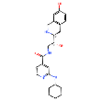 O=C(NC[C@@H](O)[C@@H]1Cc2ccc(O)cc2CN1)c1ccnc(NC2CCCCC2)c1